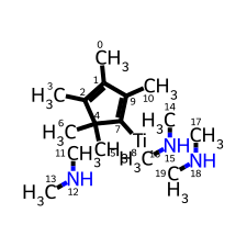 CC1=C(C)C(C)(C)[C]([Ti])=C1C.CNC.CNC.CNC